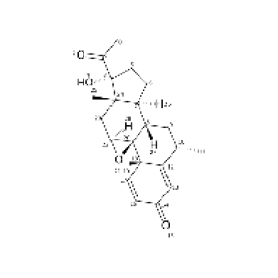 CC(=O)[C@@]1(O)CC[C@H]2[C@@H]3C[C@H](C)C4=CC(=O)C=C[C@]4(C)[C@@]34O[C@H]4C[C@@]21C